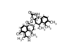 Cc1ccc(F)c([C@@H](C)[C@@H](c2n[nH]c(=O)o2)N2CN(C)c3c(ccc(Cl)c3C(C)O)S2(=O)=O)c1C